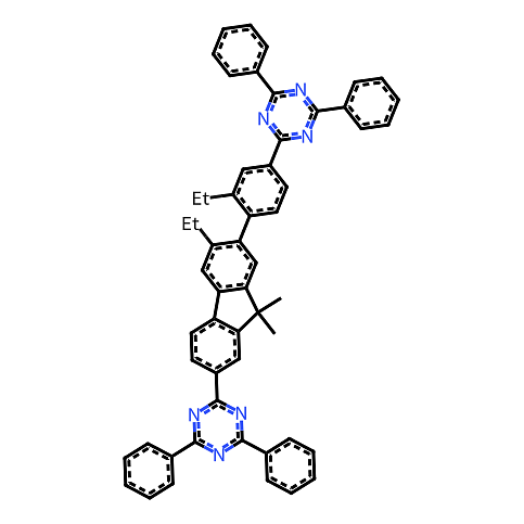 CCc1cc(-c2nc(-c3ccccc3)nc(-c3ccccc3)n2)ccc1-c1cc2c(cc1CC)-c1ccc(-c3nc(-c4ccccc4)nc(-c4ccccc4)n3)cc1C2(C)C